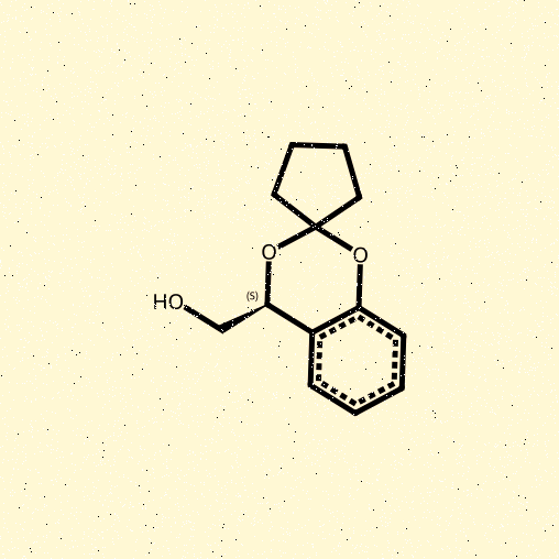 OC[C@H]1OC2(CCCC2)Oc2ccccc21